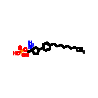 CCCCCCCCc1ccc(C2CCC(N)(COP(=O)(O)O)C2)cc1